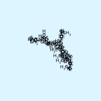 CCC(C(=O)N1C[C@H](O)C[C@H]1C(=O)NCc1ccc(-c2scnc2C)cc1)c1cc(COC[C@]2(O)C[C@@H](C(=O)NCc3ccc(-c4scnc4C)cc3)N(C(=O)[C@H](C(C)C)N3Cc4ccc(O[C@@H]5C[C@@H](C(=O)NCc6ccc(-c7scnc7C)cc6)N(C(=O)[C@@H](c6cc(C)no6)C(C)C)C5)cc4C3=O)C2)no1